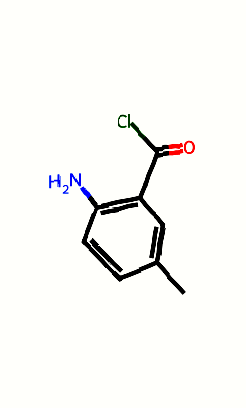 Cc1ccc(N)c(C(=O)Cl)c1